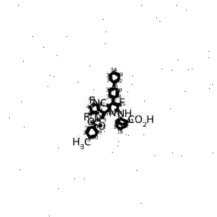 Cc1ccc(S(=O)(=O)n2cc(-c3nc(NC4C5CCC(CC5)C4C(=O)O)c(F)c(-c4ccc(-c5ccccc5)cc4)c3C#N)c3cc(F)cc(F)c32)cc1